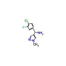 Cn1cc(C(N)c2ccc(Cl)c(F)c2)cn1